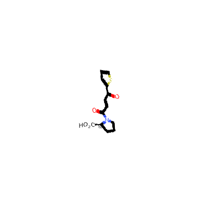 O=C(C=CC(=O)N1CCC[C@H]1C(=O)O)c1cccs1